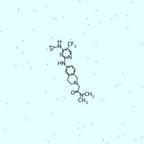 CN(C)C(=O)CN1CCc2cc(Nc3ncc(C(F)(F)F)c(NC4CC4)n3)ccc2C1